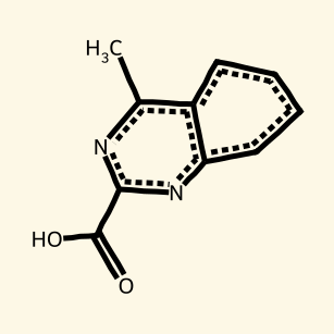 Cc1nc(C(=O)O)nc2ccccc12